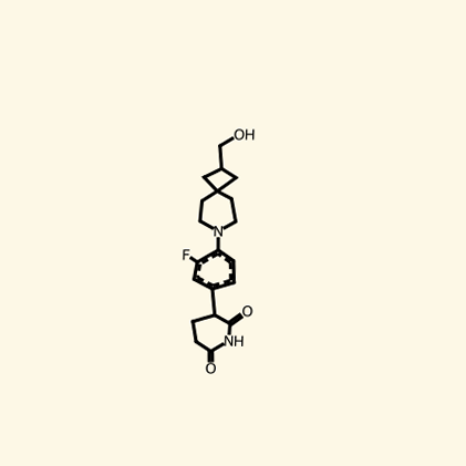 O=C1CCC(c2ccc(N3CCC4(CC3)CC(CO)C4)c(F)c2)C(=O)N1